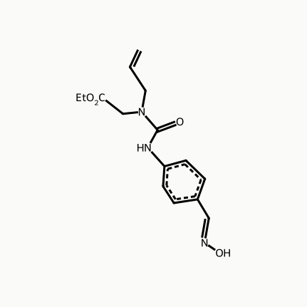 C=CCN(CC(=O)OCC)C(=O)Nc1ccc(C=NO)cc1